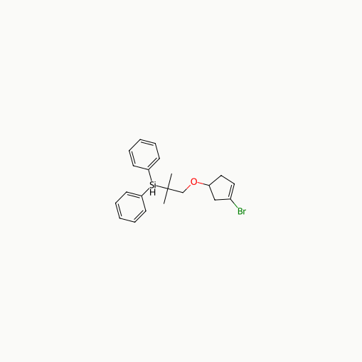 CC(C)(COC1CC=C(Br)C1)[SiH](c1ccccc1)c1ccccc1